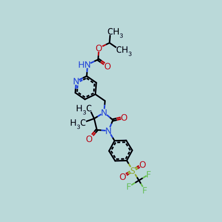 CC(C)OC(=O)Nc1cc(CN2C(=O)N(c3ccc(S(=O)(=O)C(F)(F)F)cc3)C(=O)C2(C)C)ccn1